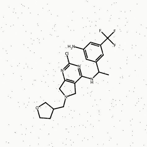 CC(Nc1nc(Cl)nc2c1CN(CC1CCOC1)C2)c1cc(N)cc(C(F)(F)F)c1